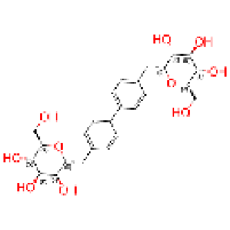 OC[C@H]1O[C@H](Cc2ccc(-c3ccc(C[C@H]4O[C@H](CO)[C@@H](O)[C@H](O)[C@H]4O)cc3)cc2)[C@@H](O)[C@@H](O)[C@@H]1O